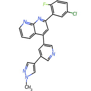 Cn1cc(-c2cncc(-c3cc(-c4cc(Cl)ccc4F)nc4ncccc34)c2)cn1